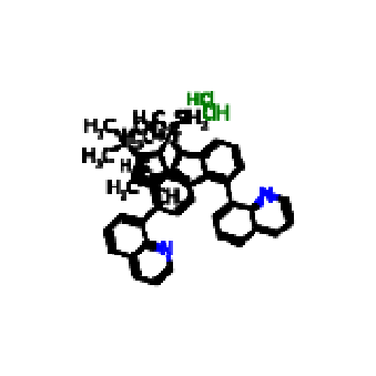 C[Si](C)(C)C1=Cc2c(-c3cccc4cccnc34)cccc2[CH]1[Zr]([CH3])([CH3])(=[SiH2])[CH]1C([Si](C)(C)C)=Cc2c(-c3cccc4cccnc34)cccc21.Cl.Cl